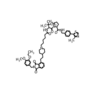 CCOc1cc(CN2C(=O)c3cccc(CCC4CCN(CCCCCC(=O)NC(C(=O)N5CCCC5C(=O)NCc5ccc(-c6scnc6C)cc5)C(C)(C)C)CC4)c3C2=O)ccc1OC